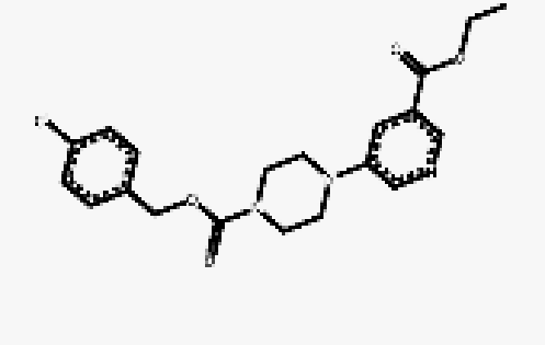 CCOC(=O)c1cncc(N2CCN(C(=O)OCc3ccc(Cl)cc3)CC2)c1